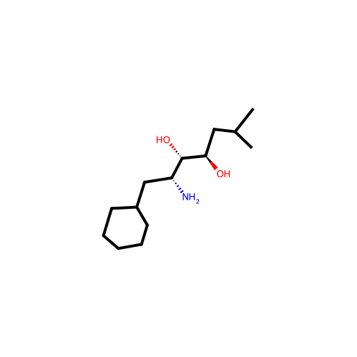 CC(C)C[C@@H](O)[C@@H](O)[C@H](N)CC1CCCCC1